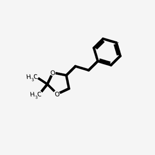 CC1(C)OCC(CCc2cc[c]cc2)O1